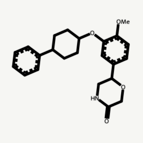 COc1ccc(C2CNC(=O)CO2)cc1OC1CCC(c2ccccc2)CC1